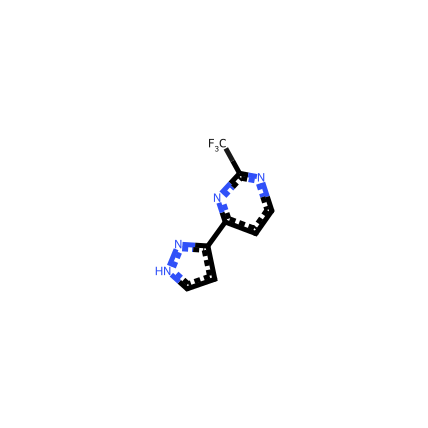 FC(F)(F)c1nccc(-c2cc[nH]n2)n1